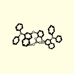 COB(OC)Oc1c(Oc2cc(N(c3ccccc3)c3ccccc3)c3ccccc3c2)cccc1Oc1cc(N(c2ccccc2)c2ccccc2)c2ccccc2c1